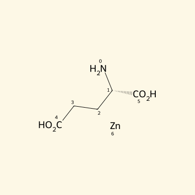 N[C@@H](CCC(=O)O)C(=O)O.[Zn]